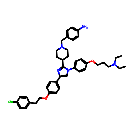 CCN(CC)CCCOc1ccc(-n2cc(-c3ccc(OCCc4ccc(Cl)cc4)cc3)nc2C2CCN(Cc3ccc(N)cc3)CC2)cc1